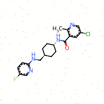 Cc1ncc(Cl)cc1C(=O)N[C@H]1CC[C@H](CNc2ccc(F)cn2)CC1